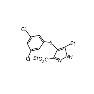 CCOC(=O)c1n[nH]c(CC)c1Sc1cc(Cl)cc(Cl)c1